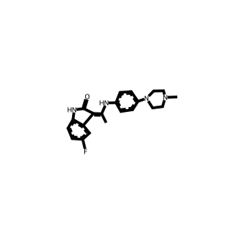 C/C(Nc1ccc(N2CCN(C)CC2)cc1)=C1/C(=O)Nc2ccc(F)cc21